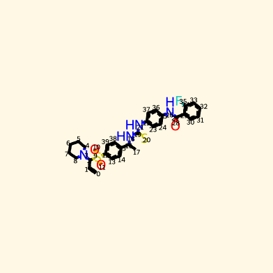 C=CC(N1CCCCC1)S(=O)(=O)c1ccc(C(C)NC(=S)Nc2ccc(NC(=O)c3ccccc3F)cc2)cc1